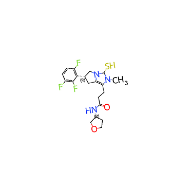 CN1C(CCC(=O)N[C@@H]2CCOC2)=C2C[C@H](c3c(F)ccc(F)c3F)CN2C1S